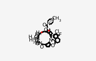 C[C@@H]1[C@@H](C)S(=O)(=O)NC(=O)c2ccc3c(c2)N(C[C@@H]2CC[C@H]2[C@@H](OCC(=O)N2CCN(C)CC2)C2=C[C@H]1C2)C[C@@]1(CCCc2c1ccc(Cl)c2F)CO3